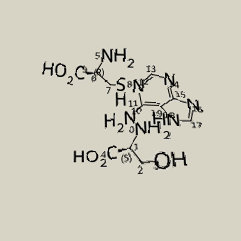 N[C@@H](CO)C(=O)O.N[C@@H](CS)C(=O)O.Nc1ncnc2nc[nH]c12